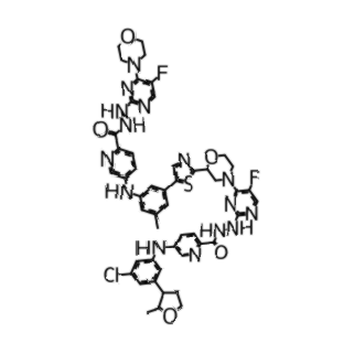 Cc1cc(Nc2ccc(C(=O)NNc3ncc(F)c(N4CCOCC4)n3)nc2)cc(-c2cnc(C3CN(c4nc(NNC(=O)c5ccc(Nc6cc(Cl)cc(C7CCOC7C)c6)cn5)ncc4F)CCO3)s2)c1